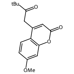 COc1ccc2c(CC(=O)C(C)(C)C)cc(=O)oc2c1